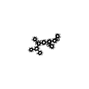 c1ccc(-c2cc(-c3ccccc3)cc(-c3cc(-c4ccc(-c5ccc(-c6ccc7oc8ccccc8c7c6)c6c5oc5ccccc56)cc4)nc(-c4ccccc4)n3)c2)cc1